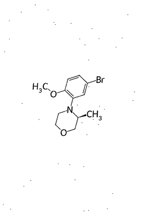 COc1ccc(Br)cc1N1CCOC[C@@H]1C